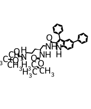 CC(C)(C)OC(=O)NCCC[C@@H](CNC(=O)c1[nH]c2ccc(-c3ccccc3)cc2c1-c1ccccc1)NC(=O)OC(C)(C)C